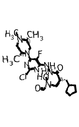 C[C@H]1CN(c2nc(Cl)nc(NNC(=O)[C@H](CC3CCCC3)CN(O)C=O)c2F)[C@@H](C)CN1C